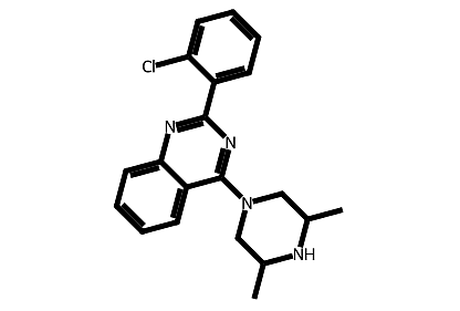 CC1CN(c2nc(-c3ccccc3Cl)nc3ccccc23)CC(C)N1